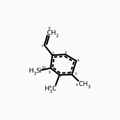 C=Cc1ccc(C)c(C)c1[SiH3]